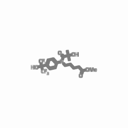 COC(=O)CCCCN(C(=O)C(C)(C)O)c1ccc(C(O)(C(F)(F)F)C(F)(F)F)cc1